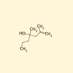 C=C(C)CC(C)(O)CCC